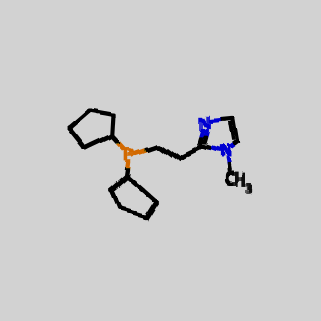 Cn1ccnc1CCP(C1CCCC1)C1CCCC1